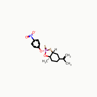 C=C(C)C1CC[C@@]2(C)O[P@](=S)(Oc3ccc([N+](=O)[O-])cc3)S[C@@H]2C1